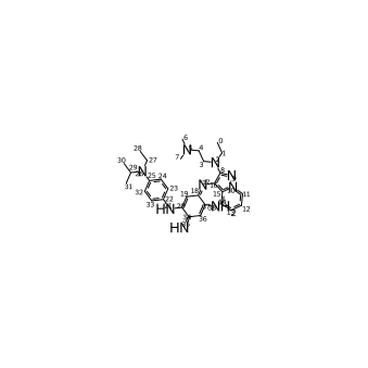 CCN(CCN(C)C)c1nn2ccccc2c1/N=C1/C=C(Nc2ccc(N(CC)C(C)C)cc2)C(=N)C=C1N